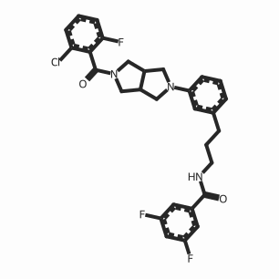 O=C(NCCCc1cccc(N2CC3CN(C(=O)c4c(F)cccc4Cl)CC3C2)c1)c1cc(F)cc(F)c1